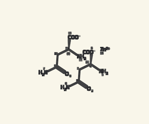 NC(=O)C[C@H](N)C(=O)[O-].NC(=O)C[C@H](N)C(=O)[O-].[Zn+2]